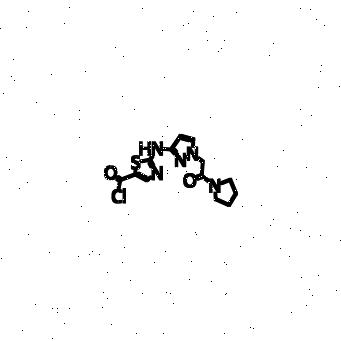 O=C(Cl)c1cnc(Nc2ccn(CC(=O)N3CCCC3)n2)s1